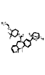 CCO[C@H]1CC[C@H](C(=O)N2Cc3cccnc3Nc3ccc(N4C[C@H]5CC[C@@H]4CO5)cc32)CC1(F)F